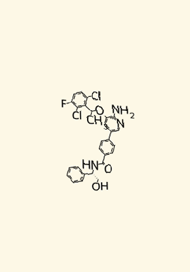 CC(Oc1cc(-c2ccc(C(=O)N[C@H](CO)c3ccccc3)cc2)cnc1N)c1c(Cl)ccc(F)c1Cl